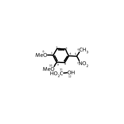 COc1ccc(C(C)[N+](=O)[O-])cc1OC.O=C(O)O